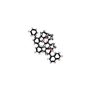 c1ccc(-c2ccc3c4cccc5c6nc(-c7cccc8ccccc78)cnc6n(c(=C(c6nnco6)c6nnco6)n6c7nccnc7c2c36)c45)cc1